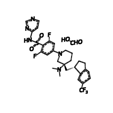 CN(C)[C@@]1(C[C@@H]2CCc3ccc(C(F)(F)F)cc32)CCCN(c2cc(F)c(S(=O)(=O)Nc3ccncn3)c(F)c2)C1.O=CO